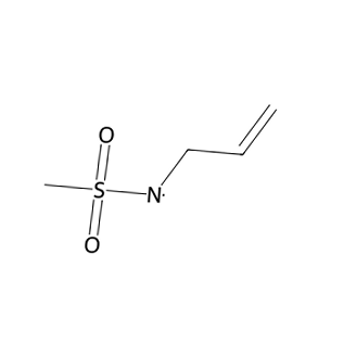 C=CC[N]S(C)(=O)=O